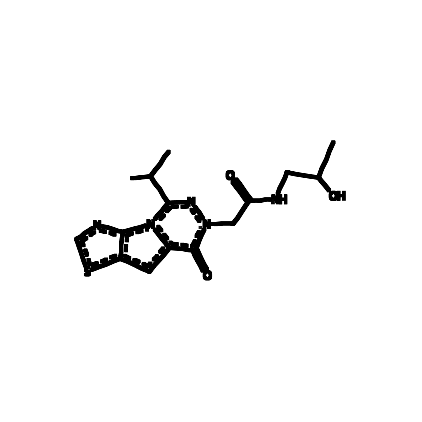 CC(O)CNC(=O)Cn1nc(C(C)C)n2c(cc3scnc32)c1=O